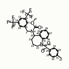 COC(=O)N(Cc1cc(C(F)(F)F)cc(C(F)(F)F)c1)C1CCCN(S(=O)(=O)c2ccc(C)cc2)c2ccccc21